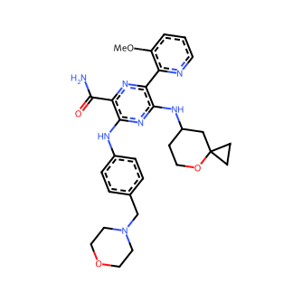 COc1cccnc1-c1nc(C(N)=O)c(Nc2ccc(CN3CCOCC3)cc2)nc1NC1CCOC2(CC2)C1